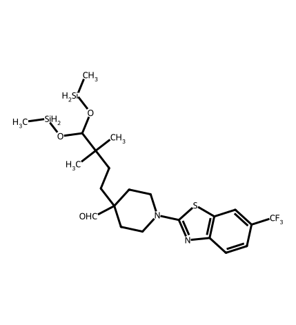 C[SiH2]OC(O[SiH2]C)C(C)(C)CCC1(C=O)CCN(c2nc3ccc(C(F)(F)F)cc3s2)CC1